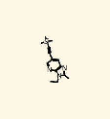 CCn1c(C)nc2cc(C#C[Si](C)(C)C)cnc21